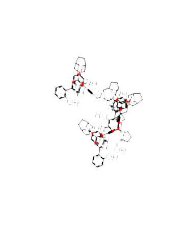 Nc1nnc(-c2ccccc2O)cc1N1CC2CCC(C1)N2c1ccnc(C#CCN2CC3CCCN3C(C3CCCC4(CN(CC#Cc5cc(N6C7CCC6CN(c6cc(-c8ccccc8O)nnc6Nc6cccc(-c8cc(N9CC%10CCC(C9)N%10c9ccnc(C#CCN%10CCC[C@@H]%10CO)c9)c(N)nn8)c6O)C7)ccn5)C4)O3)C2)c1